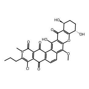 CCCc1c(Cl)c2c(c(=O)n1C)C(=O)c1c(ccc3c(OC)c4oc5c(c(=O)c4c(O)c13)[C@@H](O)CC[C@@H]5O)C2=O